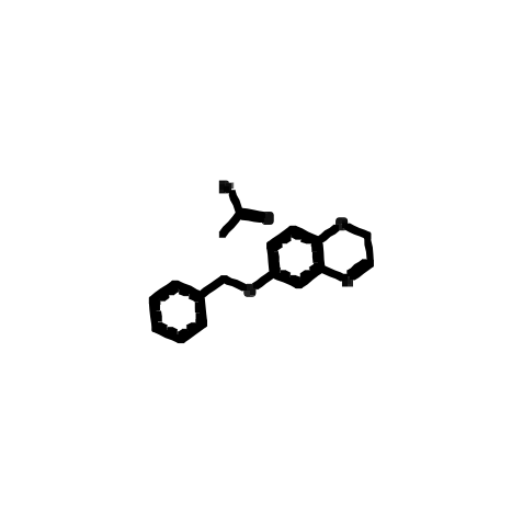 C1=Nc2cc(OCc3ccccc3)ccc2OC1.CC(=O)Br